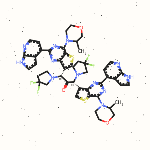 CC1COCCN1c1nc(-c2ccnc3[nH]ccc23)nc2c([C@H](C(=O)[C@@H](c3csc4c(N5CCOCC5C)nc(-c5ccnc6[nH]ccc56)nc34)N3CCC(F)(F)C3)N3CCC(F)(F)C3)csc12